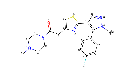 CN1CCN(C(=O)Cc2csc(-c3cnn(C(C)(C)C)c3-c3ccc(F)cc3)n2)CC1